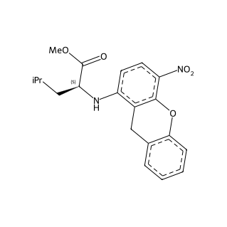 COC(=O)[C@H](CC(C)C)Nc1ccc([N+](=O)[O-])c2c1Cc1ccccc1O2